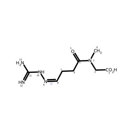 CN(CC(=O)O)C(=O)CC/C=N\NC(=N)N